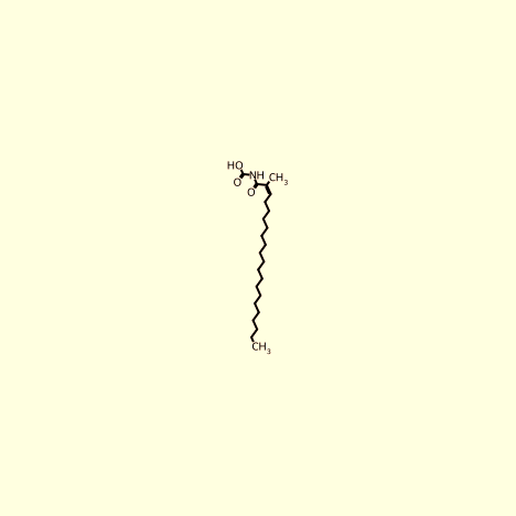 CCCCCCCCCCCCCCCCCCC=C(C)C(=O)NC(=O)O